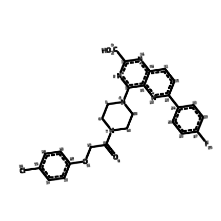 O=C(O)c1nc(N2CCN(C(=O)COc3ccc(Cl)cc3)CC2)c2nc(-c3ccc(F)cc3)ccc2n1